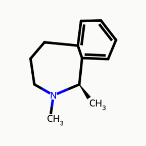 C[C@@H]1c2ccccc2CCCN1C